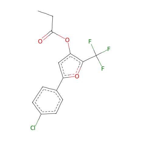 CCC(=O)Oc1cc(-c2ccc(Cl)cc2)oc1C(F)(F)F